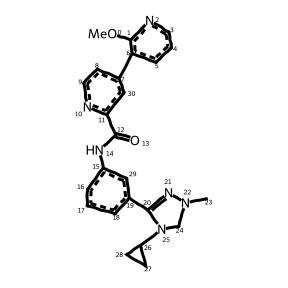 COc1ncccc1-c1ccnc(C(=O)Nc2cccc(C3=NN(C)CN3C3CC3)c2)c1